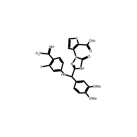 COc1ccc(C(Nc2ccc(C(=N)N)c(F)c2)c2nn(-c3ccsc3C(=O)OC(C)=O)c(=O)[nH]2)cc1OC